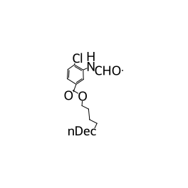 CCCCCCCCCCCCCCOC(=O)c1ccc(Cl)c(N[C]=O)c1